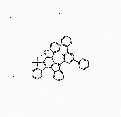 CC1(C)c2ccccc2-c2c1c1sc3ccccc3c1c1c2c2ccccc2n1-c1cc(-c2ccccc2)nc(-c2ccccc2)n1